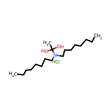 CCCCCCCCN(CCCCCCCC)C(C)(O)O.Cl